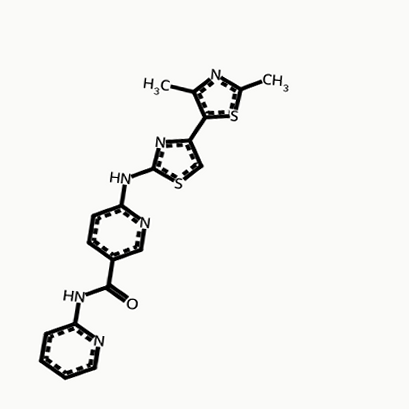 Cc1nc(C)c(-c2csc(Nc3ccc(C(=O)Nc4ccccn4)cn3)n2)s1